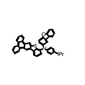 CC(C)c1ccc(N(c2ccc3oc4ccccc4c3c2)c2cccc3c2sc2cc4c5ccccc5c5ccccc5c4cc23)cc1